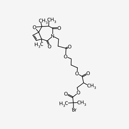 CC(COC(=O)C(C)(C)Br)C(=O)OCCCOC(=O)CCN1C(=O)C(C)C2(C)OC23C=CC3(C)C1=O